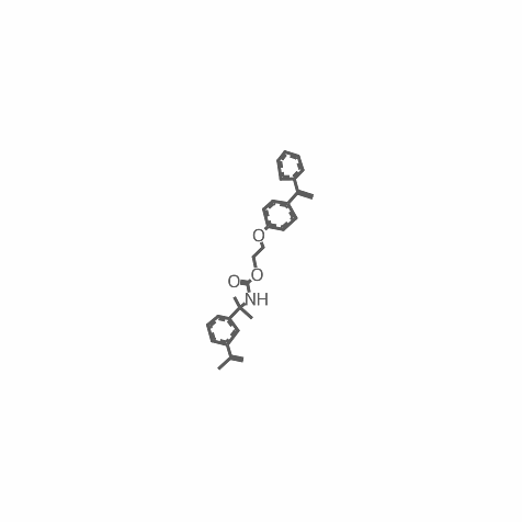 C=C(C)c1cccc(C(C)(C)NC(=O)OCCOc2ccc(C(=C)c3ccccc3)cc2)c1